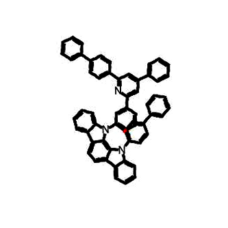 c1ccc(-c2ccc(-c3cc(-c4ccccc4)cc(-c4cccc(-n5c6ccccc6c6ccc7c8ccccc8n(-c8ccc(-c9ccccc9)cc8)c7c65)c4)n3)cc2)cc1